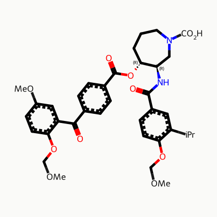 COCOc1ccc(OC)cc1C(=O)c1ccc(C(=O)O[C@@H]2CCCN(C(=O)O)C[C@H]2NC(=O)c2ccc(OCOC)c(C(C)C)c2)cc1